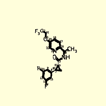 C[C@@H](NC(=O)[C@@H]1C[C@H]1c1cc(F)cc(F)c1)c1ccc(OCC(F)(F)F)cn1